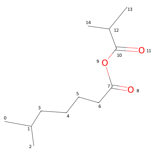 CC(C)CCCCC(=O)OC(=O)C(C)C